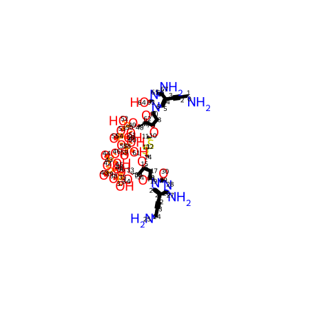 NCC#CC1=CN([C@H]2CC(OCSSCOC3C[C@H](n4cc(C#CCN)c(N)nc4=O)O[C@@H]3COP(=O)(O)OP(=O)(O)OP(=O)(O)O)[C@@H](COP(=O)(O)OP(=O)(O)OP(=O)(O)O)O2)C(O)N=C1N